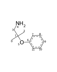 CC(C)(CN)Oc1c[c]ccc1